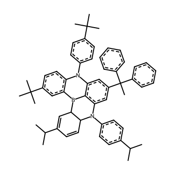 CC(C)C1=CC2B3c4cc(C(C)(C)C)ccc4N(c4ccc(C(C)(C)C)cc4)c4cc(C(C)(c5ccccc5)c5ccccc5)cc(c43)N(c3ccc(C(C)C)cc3)C2C=C1